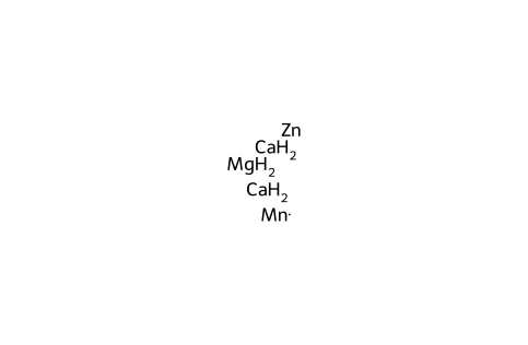 [CaH2].[CaH2].[MgH2].[Mn].[Zn]